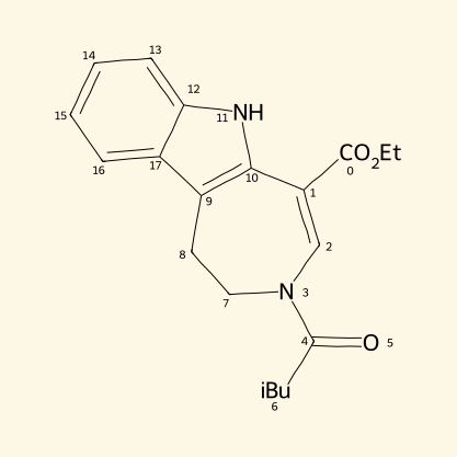 CCOC(=O)C1=CN(C(=O)C(C)CC)CCc2c1[nH]c1ccccc21